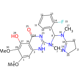 COc1cc2[nH]c(N(C)C(c3ccccc3F)N(C)C3=NCCC3)nc(=O)c2c(O)c1OC